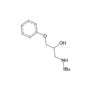 CC(C)(C)NCC(O)COc1[c]cccc1